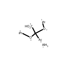 CC(=O)C(OC(C)C)(OC(C)C)C(=O)O.[AlH3]